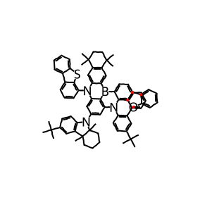 CC(C)(C)c1ccc(N2c3cc(N4c5ccc(C(C)(C)C)cc5C5(C)CCCCC45C)cc4c3B(c3cc5c(cc3N4c3cccc4c3sc3ccccc34)C(C)(C)CCC5(C)C)c3ccc4c(oc5ccccc54)c32)c(-c2ccccc2)c1